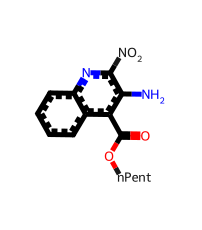 CCCCCOC(=O)c1c(N)c([N+](=O)[O-])nc2ccccc12